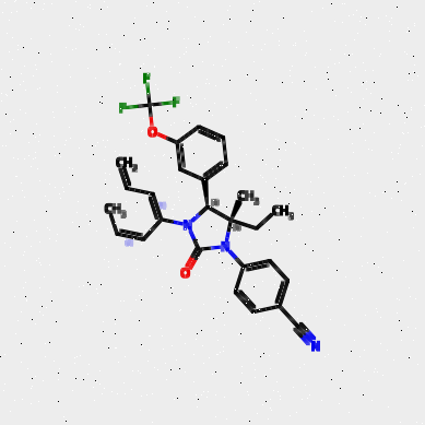 C=C/C=C(\C=C/C)N1C(=O)N(c2ccc(C#N)cc2)[C@@](C)(CC)[C@@H]1c1cccc(OC(F)(F)F)c1